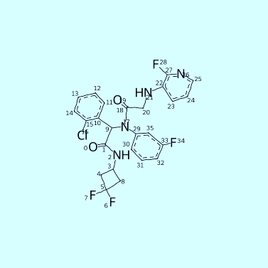 O=C(NC1CC(F)(F)C1)C(c1ccccc1Cl)N(C(=O)CNc1cccnc1F)c1cccc(F)c1